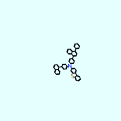 c1ccc(-c2ccc(-c3ccc(N(c4ccc(-c5cccc6ccccc56)cc4)c4ccc5c(c4)sc4ccccc45)cc3)c3ccccc23)cc1